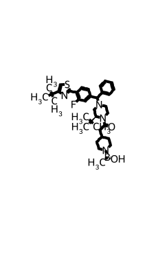 CB(O)N1CCC(CC(=O)N2CCN(C(c3ccccc3)c3ccc(-c4nc(C(C)(C)C)cs4)c(F)c3)C[C@@H]2C(C)(C)C)CC1